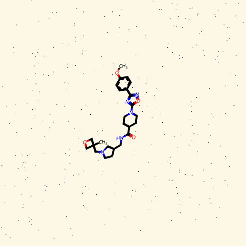 COc1ccc(-c2noc(N3CCC(C(=O)NCC4CCN(CC5(C)COC5)C4)CC3)n2)cc1